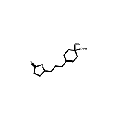 COC1(OC)CC=C(CCCC2CCC(=O)O2)CC1